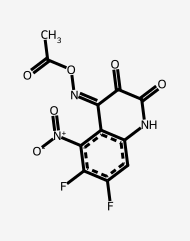 CC(=O)ON=C1C(=O)C(=O)Nc2cc(F)c(F)c([N+](=O)[O-])c21